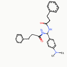 CCN(CC)c1ccc(C(NC(=O)CCc2ccccc2)NC(=O)CCc2ccccc2)cc1